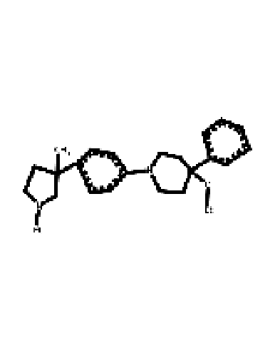 CCOC1(c2ccccc2)CCN(c2ccc(C3(C)CCN(CC)C3)cc2)CC1